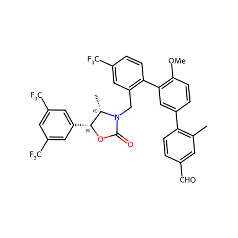 COc1ccc(-c2ccc(C=O)cc2C)cc1-c1ccc(C(F)(F)F)cc1CN1C(=O)O[C@H](c2cc(C(F)(F)F)cc(C(F)(F)F)c2)[C@@H]1C